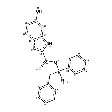 NC(Cc1ccccc1)(OC(=O)c1cc2ccc(O)cc2[nH]1)c1ccccc1